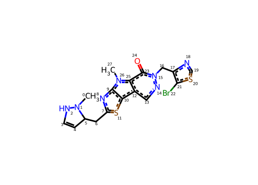 CN1NC=CC1Cc1nc2c(s1)c1cnn(Cc3ncsc3Br)c(=O)c1n2C